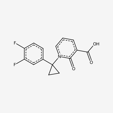 O=C(O)c1cccn(C2(c3ccc(F)c(F)c3)CC2)c1=O